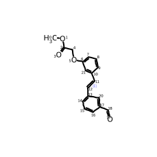 COC(=O)COc1cccc(/C=C/c2cccc(C=O)c2)c1